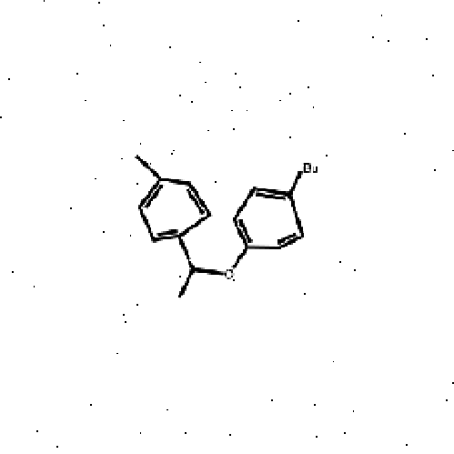 CCC(C)c1ccc(OC(C)c2ccc(C)cc2)cc1